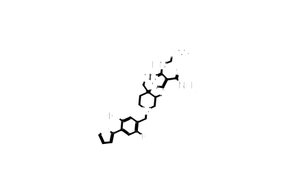 COCNc1nn(C2(CC#N)CCN(Cc3cc(O)c(-c4ccco4)cc3F)CC2F)cc1C(N)=O